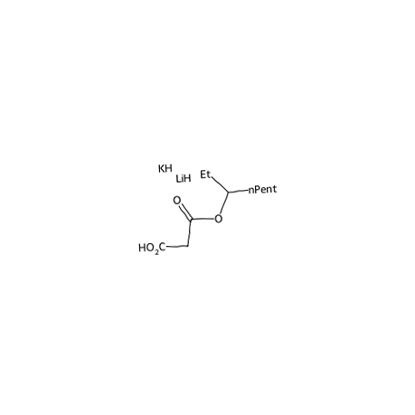 CCCCCC(CC)OC(=O)CC(=O)O.[KH].[LiH]